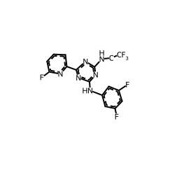 Fc1cc(F)cc(Nc2nc(NCC(F)(F)F)nc(-c3cccc(F)n3)n2)c1